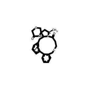 C[C@@H]1CC2(COCC(=O)N2)C2Cc3cccc(c3F)-c3ccccc3CCCCC(=O)N21